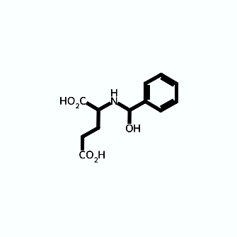 O=C(O)CCC(NC(O)c1ccccc1)C(=O)O